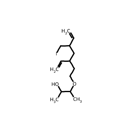 C=CC(CI)CC(C=C)CCOC(C)C(C)O